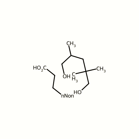 CC(CO)CC(C)(C)CO.CCCCCCCCCCCC(=O)O